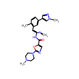 C=N/C(=C\c1cc(-c2cnn(C)c2)ccc1C)NC(=O)c1cnc(N2CCN(C)CC2)o1